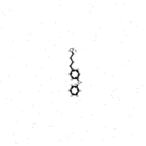 FC(F)(F)CCCCc1ccc(Oc2ccccc2)cc1